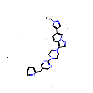 Cn1cc(-c2ccc3c(N4CCN(c5ncc(Cc6ccccn6)cn5)CC4)cnn3c2)cn1